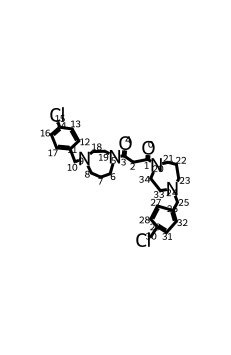 O=C(CC(=O)N1CCCN(Cc2ccc(Cl)cc2)CC1)N1CCCN(Cc2ccc(Cl)cc2)CC1